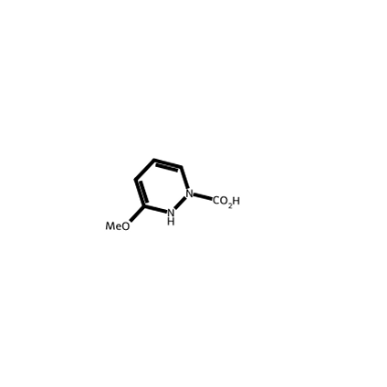 COC1=CC=CN(C(=O)O)N1